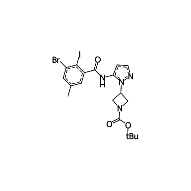 Cc1cc(Br)c(I)c(C(=O)Nc2ccnn2C2CN(C(=O)OC(C)(C)C)C2)c1